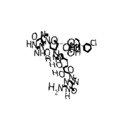 Nc1nc2c(ncn2[C@@H]2O[C@H](CO[PH]3(O)OCC[C@H](c4cccc(Cl)c4)O3)[C@@H](n3cc(C[C@H]4O[C@@H](n5cnc6c(=O)[nH]c(N)nc65)[C@@H](O)[C@@H]4O)nn3)[C@H]2O)c(=O)[nH]1